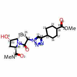 CNC(=O)[C@H]1C[C@H](O)CN1C(=O)C(n1cc(C2CCC(C(=O)OC)CC2)nn1)C(C)(C)C